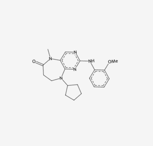 COc1ccccc1Nc1ncc2c(n1)N(C1CCCC1)CCC(=O)N2C